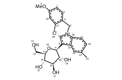 COc1ccc(Cn2cc([C@@H]3O[C@H](CO)[C@@H](O)[C@H](O)[C@H]3O)c3cc(C)ccc32)c(Cl)c1